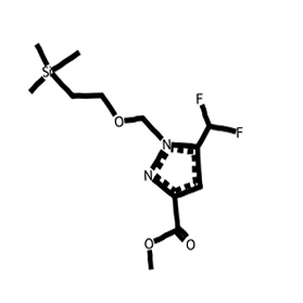 COC(=O)c1cc(C(F)F)n(COCC[Si](C)(C)C)n1